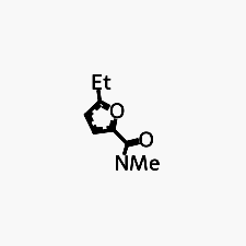 CCc1ccc(C(=O)NC)o1